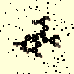 Cc1cc(C)cc(-c2cccc(-c3nc(Cc4nc(-c5cccc(-c6cc(C)cc(C)c6)c5)nc(-c5cccc(-c6cc(C)cc(C)c6)c5)n4)nc(-c4cccc(-c5cc(C)cc(C)c5)c4)n3)c2)c1